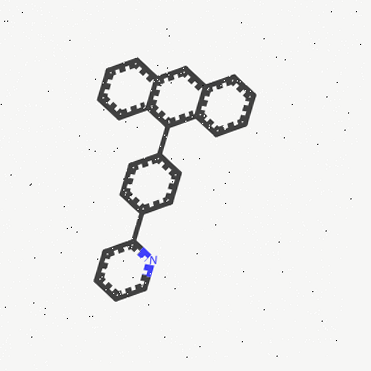 c1ccc(-c2ccc(-c3c4ccccc4cc4ccccc34)cc2)nc1